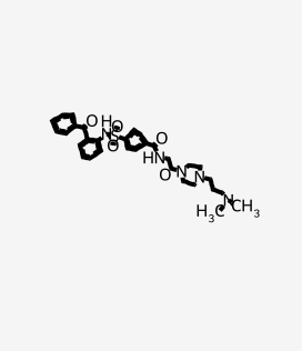 CN(C)CCCN1CCN(C(=O)CNC(=O)c2ccc(S(=O)(=O)Nc3ccccc3C(=O)c3ccccc3)cc2)CC1